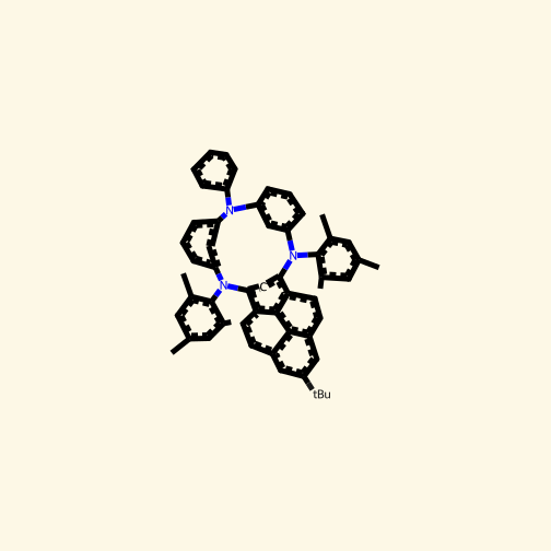 Cc1cc(C)c(N2c3cccc(c3)N(c3ccccc3)c3cccc(c3)N(c3c(C)cc(C)cc3C)c3cc2c2ccc4cc(C(C)(C)C)cc5ccc3c2c45)c(C)c1